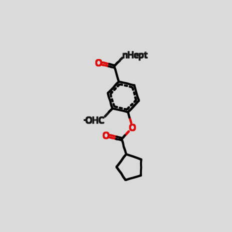 CCCCCCCC(=O)c1ccc(OC(=O)C2CCCC2)c([C]=O)c1